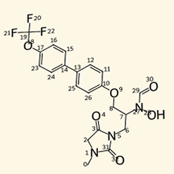 CN1CC(=O)N(CC(COc2ccc(-c3ccc(OC(F)(F)F)cc3)cc2)N(O)C=O)C1=O